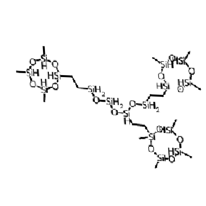 C[SiH]1O[SiH](C)O[SiH](CC[SiH2]O[SiH2]O[SiH](CC[Si]2(C)O[SiH](C)O[SiH](C)O[SiH](C)O2)O[SiH2]CC[SiH]2O[SiH](C)O[SiH](C)O[SiH](C)O2)O[SiH](C)O1